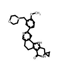 COc1ccc(-c2cc3c(cn2)CCc2c-3[nH]c3c2C(=O)NC2(CC2)C3)cc1CN1CCOCC1